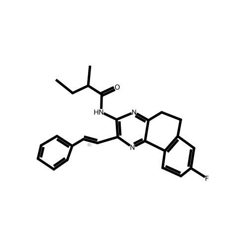 CCC(C)C(=O)Nc1nc2c(nc1/C=C/c1ccccc1)-c1ccc(F)cc1CC2